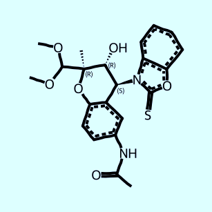 COC(OC)[C@]1(C)Oc2ccc(NC(C)=O)cc2[C@H](n2c(=S)oc3ccccc32)[C@H]1O